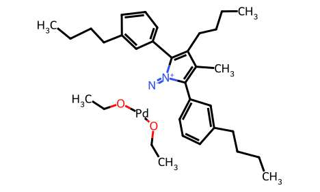 CCCCC1=C(c2cccc(CCCC)c2)[N+](=[N-])C(c2cccc(CCCC)c2)=C1C.CC[O][Pd][O]CC